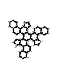 C1=Cc2c(ccc3c2c2sccc2c2c3c3c4ccsc4c4c5ccccc5ccc4c3c3c4ccsc4c4c5ccccc5ccc4c23)CC1